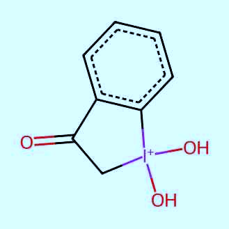 O=C1C[I+](O)(O)c2ccccc21